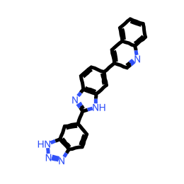 c1ccc2ncc(-c3ccc4nc(-c5ccc6nn[nH]c6c5)[nH]c4c3)cc2c1